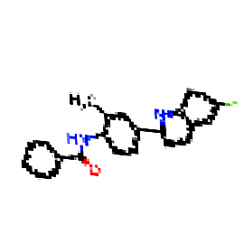 Cc1cc(-c2ccc3cc(F)ccc3n2)ccc1NC(=O)c1ccccc1